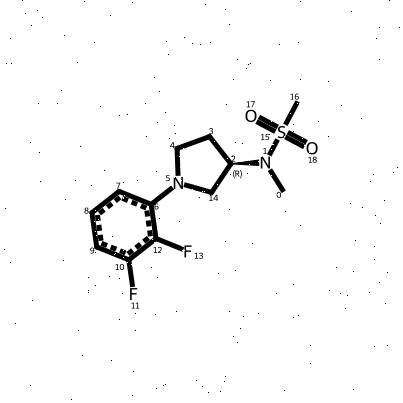 CN([C@@H]1CCN(c2cccc(F)c2F)C1)S(C)(=O)=O